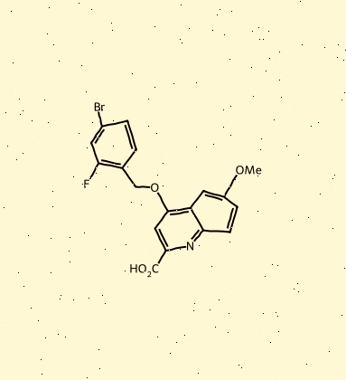 COc1ccc2nc(C(=O)O)cc(OCc3ccc(Br)cc3F)c2c1